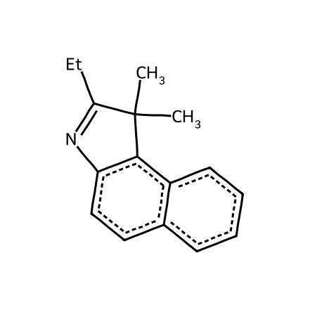 CCC1=Nc2ccc3ccccc3c2C1(C)C